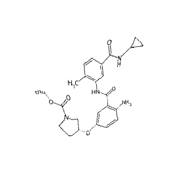 Cc1ccc(C(=O)NC2CC2)cc1NC(=O)c1cc(O[C@@H]2CCN(C(=O)OC(C)(C)C)C2)ccc1N